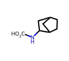 O=C(O)NC1CC2CCC1C2